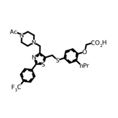 CCCc1cc(SCc2sc(-c3ccc(C(F)(F)F)cc3)nc2CN2CCN(C(C)=O)CC2)ccc1OCC(=O)O